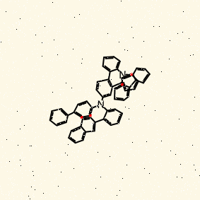 C1=CC2c3ccccc3N(c3ccccc3-c3ccc(N(c4ccc(-c5ccccc5)cc4)c4ccccc4-c4ccc5ccccc5c4)cc3-c3ccccc3)C2C=C1